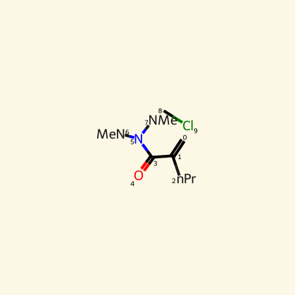 C=C(CCC)C(=O)N(NC)NC.CCl